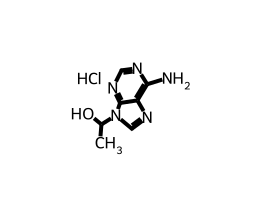 CC(O)n1cnc2c(N)ncnc21.Cl